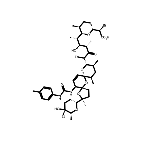 CCC(C(=O)[C@@H](C)[C@@H](O)[C@H](C)[C@@H]1O[C@@H]([C@@H](CC)C(=O)O)CC[C@@H]1C)[C@H]1O[C@]2(C=CC(NC(=S)Nc3ccc(C)cc3)[C@]3(CC[C@@](C)([C@H]4CC[C@](O)(CC)[C@H](C)O4)O3)O2)[C@H](C)C[C@@H]1C